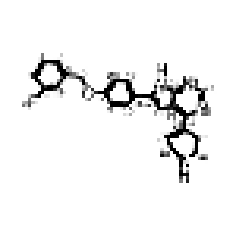 Fc1cccc(COc2ccc(-c3cc4c(C5=CCNCC5)ncnc4[nH]3)cc2)c1